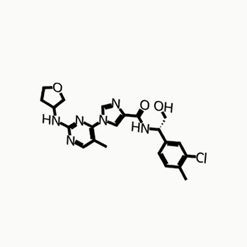 Cc1ccc([C@@H](CO)NC(=O)c2cn(-c3nc(NC4CCOC4)ncc3C)cn2)cc1Cl